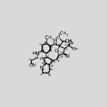 COC(C)C1(Nc2ccc(NCCO)cc2C)O/C(=C\c2c[nH]c3ncccc23)C(=O)C1C(=O)O